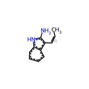 C/C=C\c1c(N)[nH]c2ccccc12